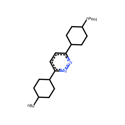 CCCCCC1CCC(c2ccc(C3CCC(CCCC)CC3)nn2)CC1